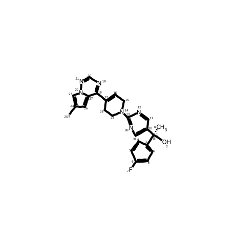 C[C@](O)(c1ccc(F)cc1)c1cnc(N2CC=C(c3ncnn4cc(I)cc34)CC2)nc1